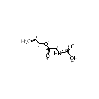 C=CCOC(=O)CNC(=O)O